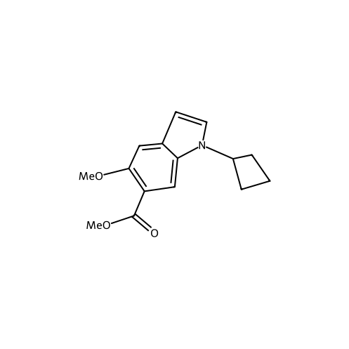 COC(=O)c1cc2c(ccn2C2CCC2)cc1OC